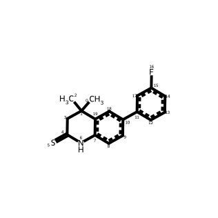 CC1(C)CC(=S)Nc2ccc(-c3cccc(F)c3)cc21